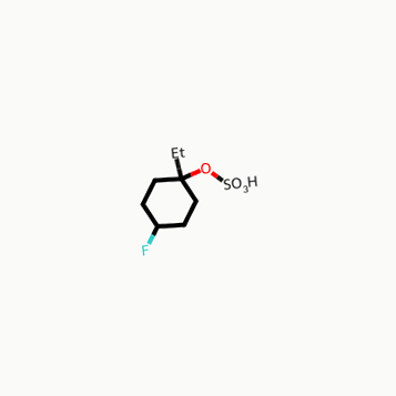 CCC1(OS(=O)(=O)O)CCC(F)CC1